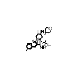 Cc1ccc2nc(N3CCC(NC4(C)CCOCC4)CC3)c(C(=N)NC(C)O)cc2c1